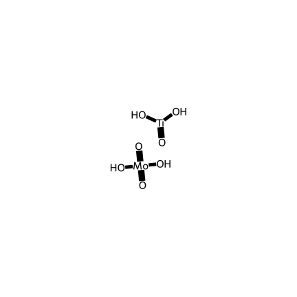 [O]=[Mo](=[O])([OH])[OH].[O]=[Ti]([OH])[OH]